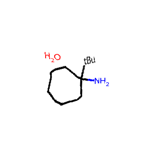 CC(C)(C)C1(N)CCCCC1.O